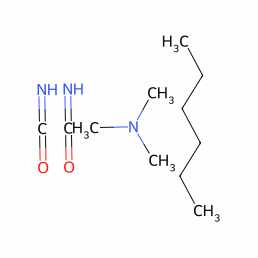 CCCCCC.CN(C)C.N=C=O.N=C=O